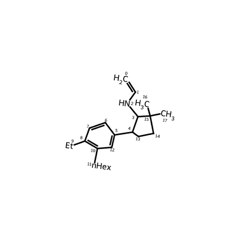 C=CNC1C(c2ccc(CC)c(CCCCCC)c2)CCC1(C)C